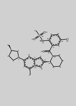 Cc1cc(N2CC[C@@H](C)C2)nc2cc([C@@H]3CCCCN3C(=O)c3cc(Cl)ccc3NS(C)(=O)=O)nn12